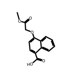 COC(=O)COc1ccc(C(=O)O)c2ccccc12